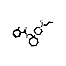 CCC[S+]([O-])N1CCN(C2(CNC(=O)c3ccccc3F)CCCCCC2)CC1